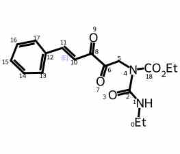 CCNC(=O)N(CC(=O)C(=O)/C=C/c1ccccc1)C(=O)OCC